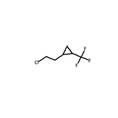 FC(F)(F)C1CC1CCCl